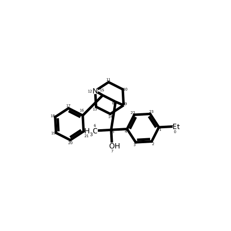 CCc1ccc(C(C)(O)C2C3CCN(CC3)C2c2ccccc2)cc1